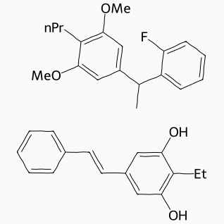 CCCc1c(OC)cc(C(C)c2ccccc2F)cc1OC.CCc1c(O)cc(C=Cc2ccccc2)cc1O